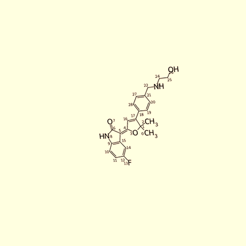 CC1(C)O/C(=C2/C(=O)Nc3ccc(F)cc32)C=C1c1ccc(CNCCO)cc1